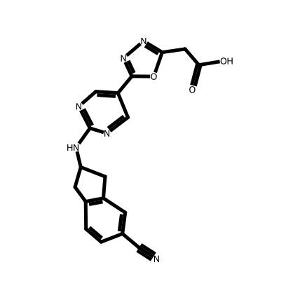 N#Cc1ccc2c(c1)CC(Nc1ncc(-c3nnc(CC(=O)O)o3)cn1)C2